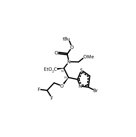 CCOC(=O)[C@H]([C@H](OCC(F)F)c1nc(Br)cs1)N(COC)C(=O)OC(C)(C)C